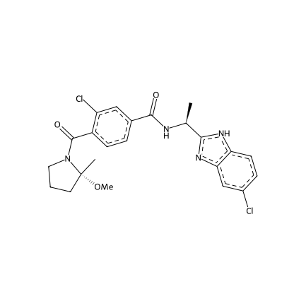 CO[C@]1(C)CCCN1C(=O)c1ccc(C(=O)N[C@@H](C)c2nc3cc(Cl)ccc3[nH]2)cc1Cl